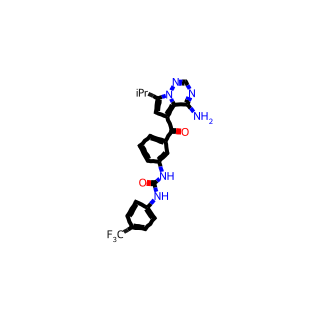 CC(C)c1cc(C(=O)c2cccc(NC(=O)Nc3ccc(C(F)(F)F)cc3)c2)c2c(N)ncnn12